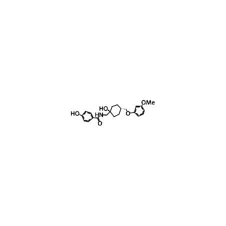 COc1cccc(OC[C@H]2CC[C@@](O)(CNC(=O)c3ccc(O)cc3)CC2)c1